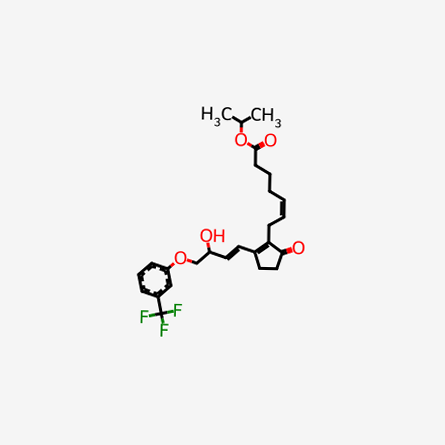 CC(C)OC(=O)CCC/C=C\CC1=C(C=CC(O)COc2cccc(C(F)(F)F)c2)CCC1=O